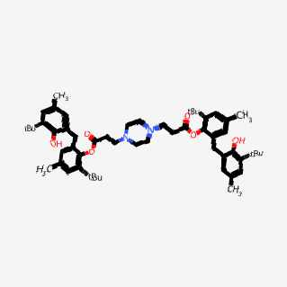 Cc1cc(Cc2cc(C)cc(C(C)(C)C)c2OC(=O)CCN2CCN(CCC(=O)Oc3c(Cc4cc(C)cc(C(C)(C)C)c4O)cc(C)cc3C(C)(C)C)CC2)c(O)c(C(C)(C)C)c1